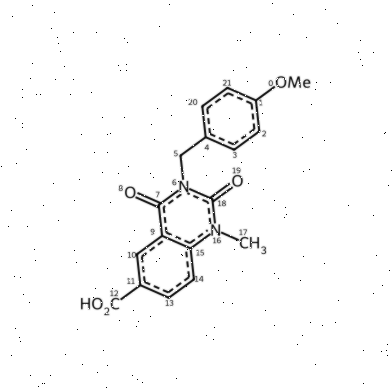 COc1ccc(Cn2c(=O)c3cc(C(=O)O)ccc3n(C)c2=O)cc1